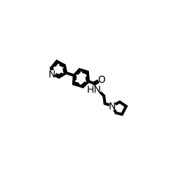 O=C(NCCN1CCCC1)c1ccc(-c2cccnc2)cc1